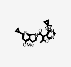 COc1cc(C2CC2)nc2c1CCN(C(=O)c1c(C)oc3ncnc(NC4(C)CC4)c13)C2